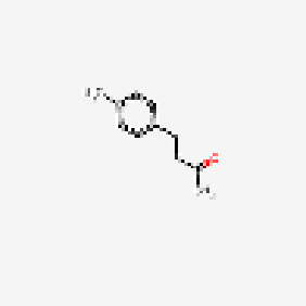 BC(=O)CCc1ccc(C)cc1